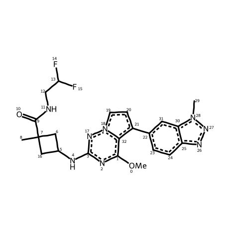 COc1nc(NC2CC(C)(C(=O)NCC(F)F)C2)nn2ccc(-c3ccc4nnn(C)c4c3)c12